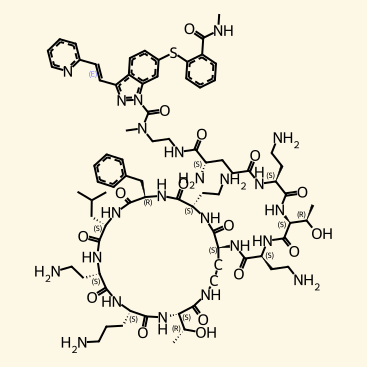 CNC(=O)c1ccccc1Sc1ccc2c(/C=C/c3ccccn3)nn(C(=O)N(C)CCNC(=O)[C@@H](N)CCC(=O)N[C@@H](CCN)C(=O)N[C@H](C(=O)N[C@@H](CCN)C(=O)N[C@H]3CCNC(=O)[C@H]([C@@H](C)O)NC(=O)[C@H](CCCN)NC(=O)[C@H](CCN)NC(=O)[C@H](CC(C)C)NC(=O)[C@@H](Cc4ccccc4)NC(=O)[C@H](CCN)NC3=O)[C@@H](C)O)c2c1